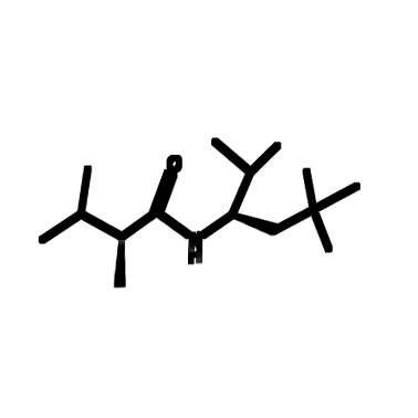 CC(C)[C@H](C)C(=O)N[C@H](CC(C)(C)C)C(C)C